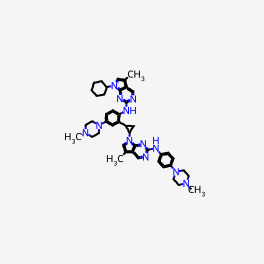 Cc1cn(C2CCCCC2)c2nc(Nc3ccc(N4CCN(C)CC4)cc3C3CC3n3cc(C)c4cnc(Nc5ccc(N6CCN(C)CC6)cc5)nc43)ncc12